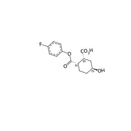 O=C(Oc1ccc(F)cc1)[C@H]1CC[C@H](O)C[C@H]1C(=O)O